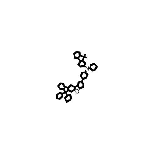 CC1(C)c2ccccc2-c2ccc(N(c3ccccc3)c3ccc(-c4ccc5oc6cc7c(cc6c5c4)-c4ccccc4C7(c4ccccc4)c4ccccc4)cc3)cc21